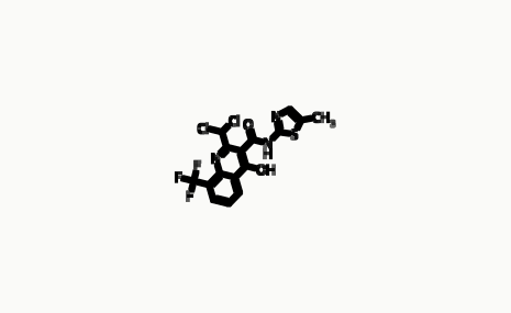 Cc1cnc(NC(=O)c2c(C(Cl)Cl)nc3c(C(F)(F)F)cccc3c2O)s1